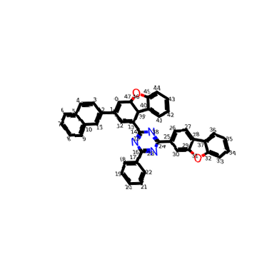 C1=C(c2ccc3ccccc3c2)C=C(c2nc(-c3ccccc3)nc(-c3ccc4c(c3)oc3ccccc34)n2)C2c3ccccc3OC12